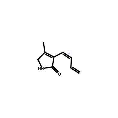 C=C/C=C\C1=C(C)CNC1=O